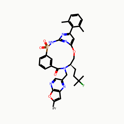 Cc1cccc(C)c1-c1cc2nc(n1)NS(=O)(=O)c1cccc(c1)C(=O)N(Cc1cnc3oc(C(C)C)cc3n1)[C@H](CCC(C)(C)F)CO2